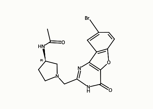 CC(=O)N[C@@H]1CCN(Cc2nc3c(oc4ccc(Br)cc43)c(=O)[nH]2)C1